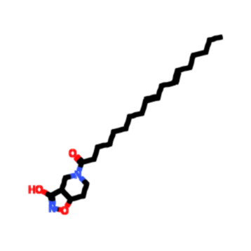 CCCCC/C=C/C/C=C/CCCCCCCC(=O)N1CCC2ON=C(O)C2C1